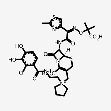 Cc1nc(/C(=N/OC(C)(C)C(=O)O)C(=O)N[C@@H]2C(=O)N3C(C(=O)O)=C(C[N+]4(CCNC(=O)c5ccc(O)c(O)c5Cl)CCCC4)CS[C@H]23)cs1